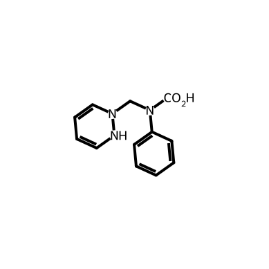 O=C(O)N(CN1C=CC=CN1)c1ccccc1